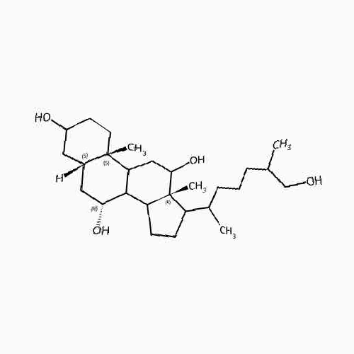 CC(CO)CCCC(C)C1CCC2C3C(CC(O)[C@]12C)[C@@]1(C)CCC(O)C[C@H]1C[C@H]3O